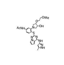 COCCOC1CN(c2cc(NC(C)=O)ccc2Sc2nc(Nc3cc(C)[nH]n3)c3cccn3n2)CC1O